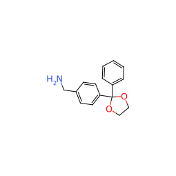 NCc1ccc(C2(c3ccccc3)OCCO2)cc1